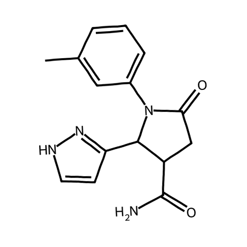 Cc1cccc(N2C(=O)CC(C(N)=O)C2c2cc[nH]n2)c1